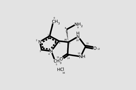 Cc1ncn(C)c1[C@@]1(CN)NC(=O)NC1=O.Cl